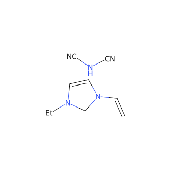 C=CN1C=CN(CC)C1.N#CNC#N